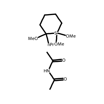 CC(=O)NC(C)=O.CCCC1(OC)CCCC[Si]1(OC)OC